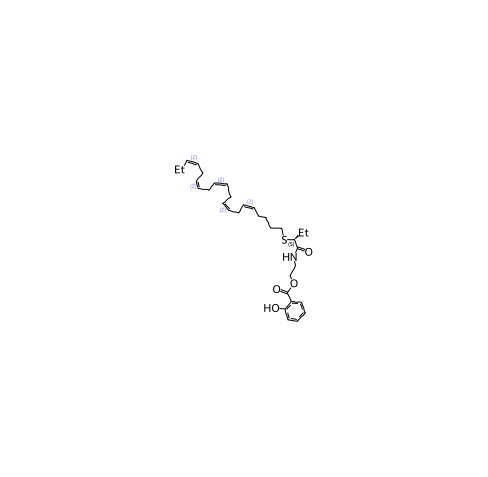 CC/C=C\C/C=C\C/C=C\C/C=C\C/C=C\CCCCS[C@@H](CC)C(=O)NCCOC(=O)c1ccccc1O